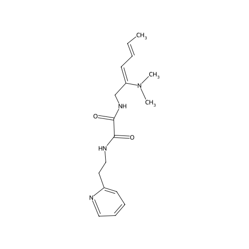 C/C=C/C=C(/CNC(=O)C(=O)NCCc1ccccn1)N(C)C